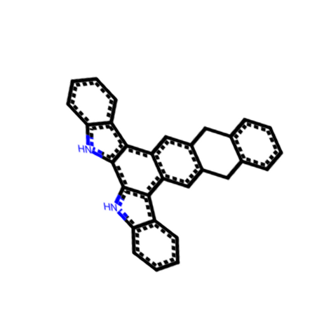 c1ccc2c(c1)Cc1cc3c(cc1C2)c1c2ccccc2[nH]c1c1[nH]c2ccccc2c31